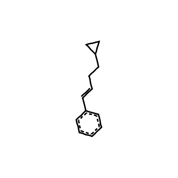 C(=C\c1ccccc1)/CCC1CC1